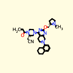 C=CC(=O)N1CCN(c2nc(OC[C@@H]3CCCN3C)nc3c2CCN(c2cccc4c2CCCC4)C3)C[C@@H]1CC#N